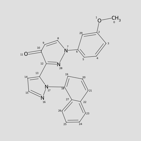 COc1cccc(-n2ccc(=O)c(-c3ccnn3-c3cccc4ccccc34)n2)c1